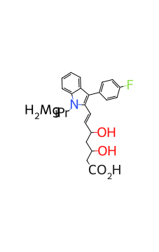 CC(C)n1c(/C=C/C(O)CC(O)CC(=O)O)c(-c2ccc(F)cc2)c2ccccc21.[MgH2]